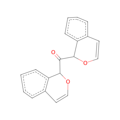 O=C(C1OC=Cc2ccccc21)C1OC=Cc2ccccc21